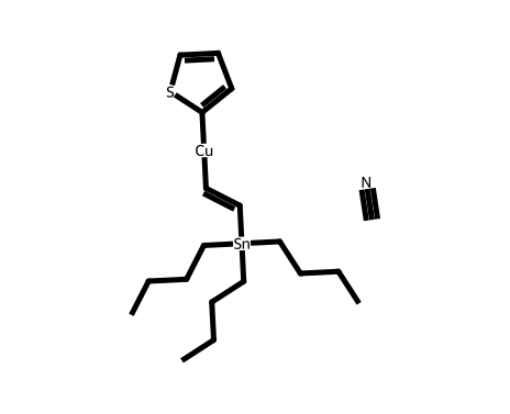 C#N.CCC[CH2][Sn]([CH]=[CH][Cu][c]1cccs1)([CH2]CCC)[CH2]CCC